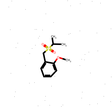 COc1ccccc1CS(=O)(=O)C(C)C